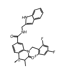 CC1C(=O)N(Cc2c(F)cc(F)cc2F)c2cc(C(=O)NCc3cc4ccccc4[nH]3)ccc2[C@@H]1C